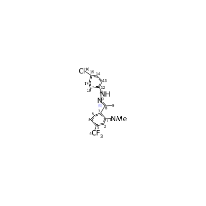 CNc1cc(C(F)(F)F)ccc1/C(C)=N/Nc1ccc(Cl)cc1